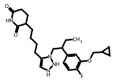 CCC(CN1NNC=C1CCCCC1CCC(=O)NC1=O)c1ccc(F)c(OCC2CC2)c1